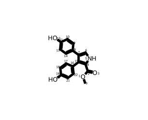 COC(=O)c1[nH]cc(-c2ccc(O)cc2)c1-c1ccc(O)cc1